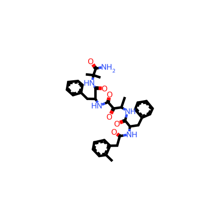 Cc1ccccc1CC(=O)NC(Cc1ccccc1)C(=O)NC(C)C(=O)C(=O)NC(Cc1ccccc1)C(=O)NC(C)(C)C(N)=O